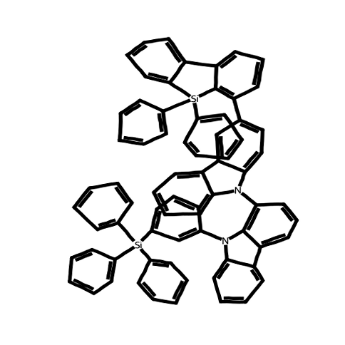 c1ccc([Si](c2ccccc2)(c2ccccc2)c2cccc(-n3c4ccccc4c4cccc(-n5c6ccccc6c6cc(-c7cccc8c7[Si](c7ccccc7)(c7ccccc7)c7ccccc7-8)ccc65)c43)c2)cc1